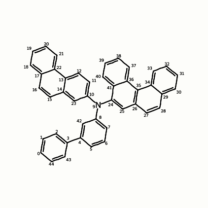 c1ccc(-c2cccc(N(c3ccc4c(ccc5ccccc54)c3)c3cc4ccc5ccccc5c4c4ccccc34)c2)cc1